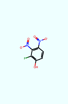 O=[N+]([O-])c1ccc(O)c(F)c1[N+](=O)[O-]